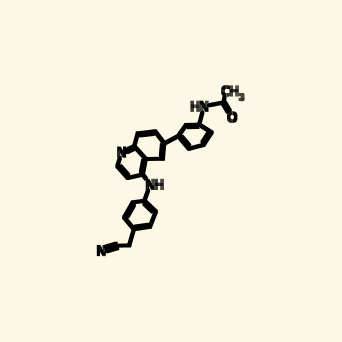 CC(=O)Nc1cccc(-c2ccc3nccc(Nc4ccc(CC#N)cc4)c3c2)c1